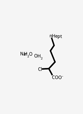 CCCCCCCCCCC(Cl)C(=O)[O-].O.O.[Na+]